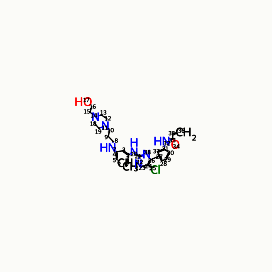 C#C/C(=C\C(=C/C)NCCCN1CCN(CCO)CC1)Nc1ncc(Cl)c(-c2cccc(NC(=O)C=C)c2)n1